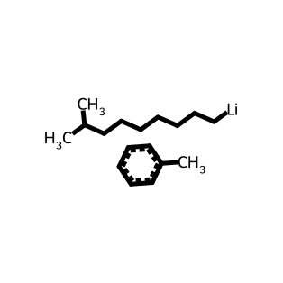 Cc1ccccc1.[Li][CH2]CCCCCCC(C)C